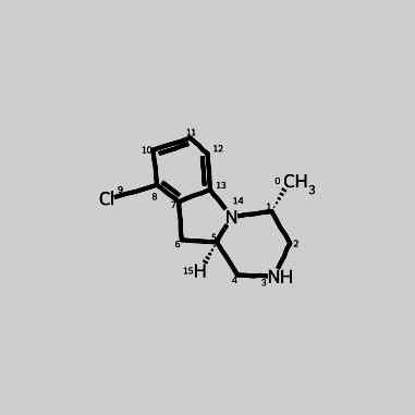 C[C@@H]1CNC[C@H]2Cc3c(Cl)cccc3N21